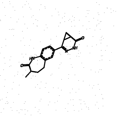 CC1CCc2cc(C3=NNC(=O)C4CC34)ccc2NC1=O